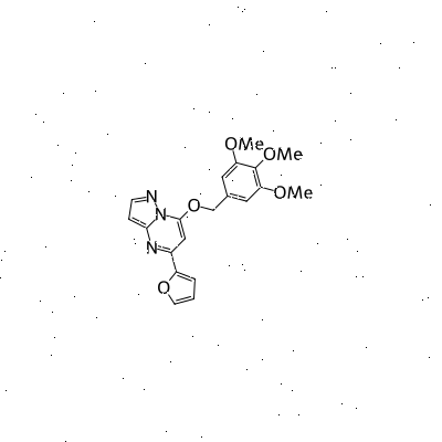 COc1cc(COc2cc(-c3ccco3)nc3ccnn23)cc(OC)c1OC